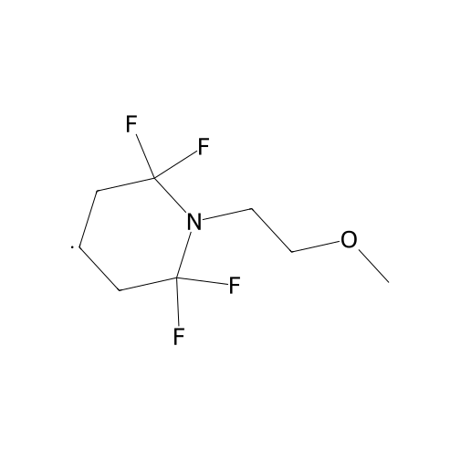 COCCN1C(F)(F)C[CH]CC1(F)F